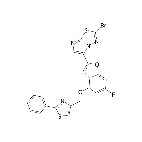 Fc1cc(OCc2csc(-c3ccccc3)n2)c2cc(-c3cnc4sc(Br)nn34)oc2c1